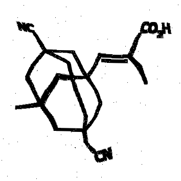 CC(=CC12CC3(C)CC(C#N)(CC(C#N)(C3)C1)C2)C(=O)O